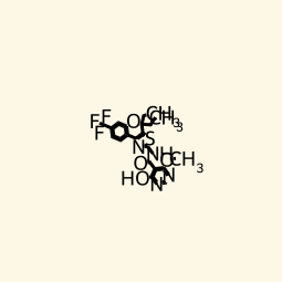 CCC1(CC)Oc2cc(C(F)(F)F)ccc2-c2nc(NC(=O)c3c(O)ncnc3OC)sc21